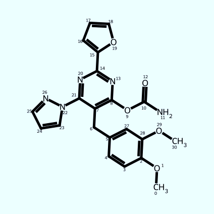 COc1ccc(Cc2c(OC(N)=O)nc(-c3ccco3)nc2-n2cccn2)cc1OC